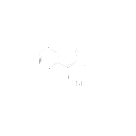 CC(=O)/C(C)=C(/CN)c1ccccc1